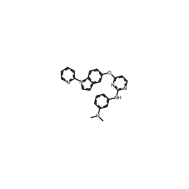 CN(C)c1cccc(Nc2nccc(Oc3ccc4c(ccn4-c4ccccn4)c3)n2)c1